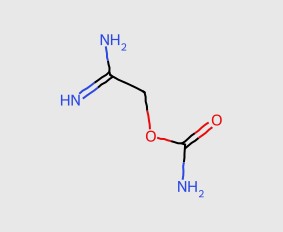 N=C(N)COC(N)=O